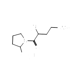 CSCCC(N)C(=O)N1CCCC1C(=O)O